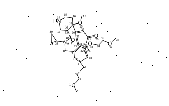 COCCCc1cc(CN(C(=O)[C@H]2CNCC[C@]2(OC)c2ccn(C)c(=O)c2)C2CC2)cc(OCCOC)c1